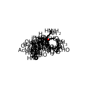 CC[C@@H](C)[C@H](C=O)N[C@H](NC(C)=O)C(=O)N[C@@H](N[C@@H](C=O)Cc1c[nH]c2ccccc12)C(=O)N[C@@H](N[C@@H](C=O)[C@H](C)CC)C(=O)N[C@@H](N[C@@H](C)C=O)C(=O)N[C@@H](N[C@@H](C=O)CCC(N)=O)C(=O)N[C@@H](N[C@@H](C)C=O)C(=O)N[C@@H](N[C@@H](C=O)CC(C)C)C(=O)N[C@@H](N[C@@H](C=O)CCCNC(=N)N)C(=O)N[C@@]1(C)CCC/C=C\CCC[C@@](C)(C(C)=O)NC(=O)[C@H](N[C@@H](C=O)CC(N)=O)NC(=O)CNC(=O)[C@H](N[C@@H](C=O)[C@H](C)CC)NC1=O